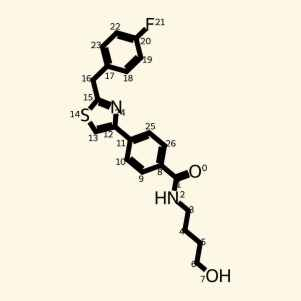 O=C(NCCCCO)c1ccc(-c2csc(Cc3ccc(F)cc3)n2)cc1